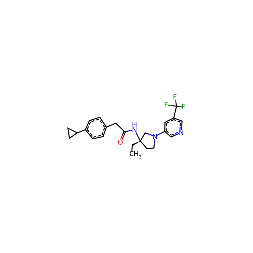 CC[C@]1(NC(=O)Cc2ccc(C3CC3)cc2)CCN(c2cncc(C(F)(F)F)c2)C1